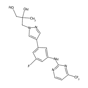 CC(O)(CO)Cn1cc(-c2cc(F)cc(Nc3nccc(C(F)(F)F)n3)c2)cn1